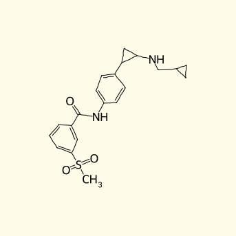 CS(=O)(=O)c1cccc(C(=O)Nc2ccc(C3CC3NCC3CC3)cc2)c1